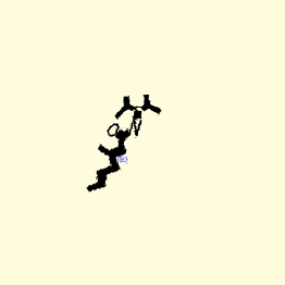 CCCC/C(C)=C/C(=O)N=S(C(C)C)C(C)C